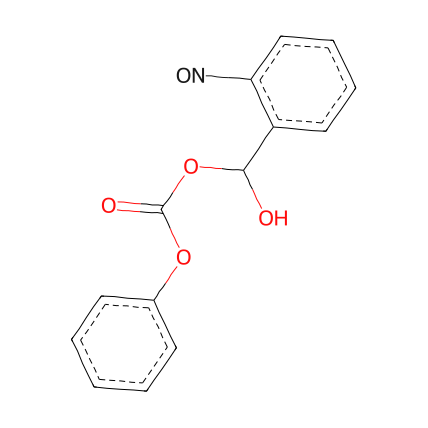 O=Nc1ccccc1C(O)OC(=O)Oc1ccccc1